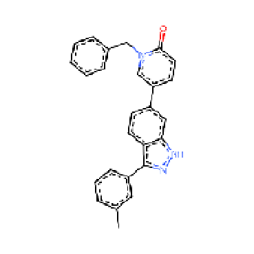 Cc1cccc(-c2n[nH]c3cc(-c4ccc(=O)n(Cc5ccccc5)c4)ccc23)c1